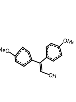 COc1ccc(C(=CO)c2ccc(OC)cc2)cc1